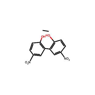 CC.O=[N+]([O-])c1ccc(O)c(-c2cc([N+](=O)[O-])ccc2O)c1